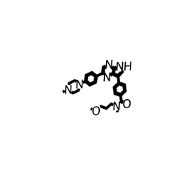 COCCCN(C)C(=O)c1ccc(-c2c[nH]c3ncc(-c4ccc(N5CCN(C)CC5)cc4)nc23)cc1